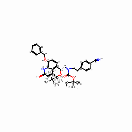 CC(C)(C)OC(=O)N(CCc1ccc(C#N)cc1)C[C@H](O[Si](C)(C)C(C)(C)C)c1ccc(OCc2ccccc2)c2[nH]c(=O)ccc12